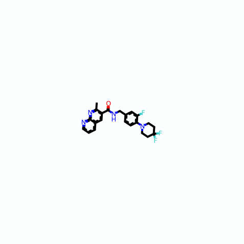 Cc1nc2ncccc2cc1C(=O)NCc1ccc(N2CCC(F)(F)CC2)c(F)c1